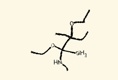 CCOC(C)(CC)C([SiH3])(NC)OCC